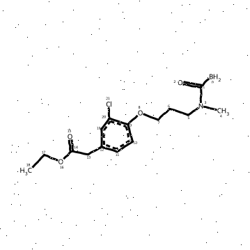 BC(=O)N(C)CCCOc1ccc(CC(=O)OCC)cc1Cl